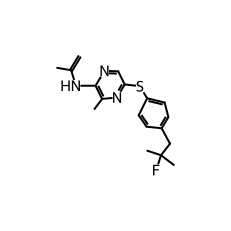 C=C(C)Nc1ncc(Sc2ccc(CC(C)(C)F)cc2)nc1C